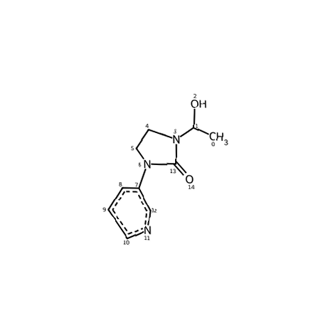 CC(O)N1CCN(c2cccnc2)C1=O